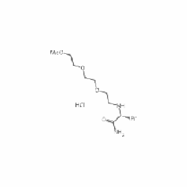 COCCOCCOCCN[C@H](C(N)=O)C(C)C.Cl